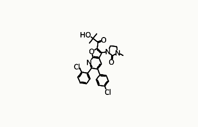 CN1CCN(c2c(C(=O)C(C)(C)O)oc3nc(-c4ccccc4Cl)c(-c4ccc(Cl)cc4)cc23)C1=O